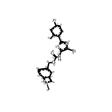 CCc1nc(-c2ccc(F)cc2C)sc1NC(=O)OCc1ccc2nn(C)cc2c1